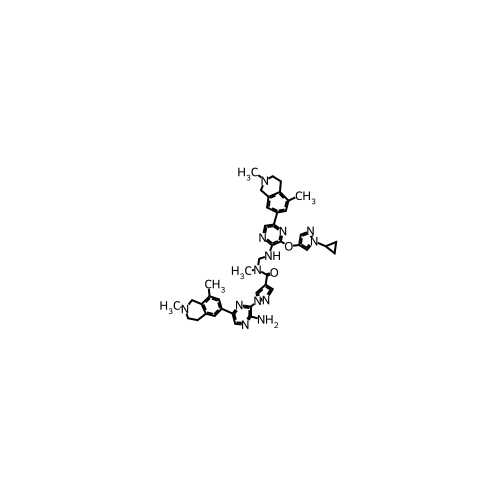 Cc1cc(-c2cnc(NCN(C)C(=O)c3cnn(-c4nc(-c5cc(C)c6c(c5)CCN(C)C6)cnc4N)c3)c(Oc3cnn(C4CC4)c3)n2)cc2c1CCN(C)C2